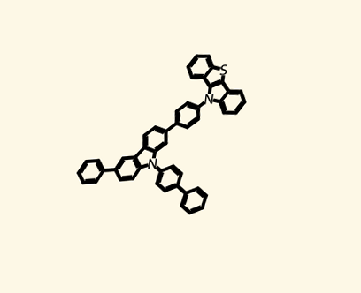 c1ccc(-c2ccc(-n3c4ccc(-c5ccccc5)cc4c4ccc(-c5ccc(-n6c7ccccc7c7sc8ccccc8c76)cc5)cc43)cc2)cc1